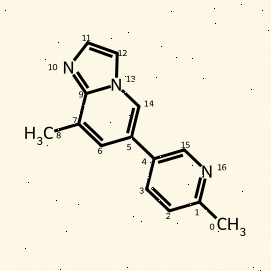 Cc1ccc(-c2cc(C)c3nccn3c2)cn1